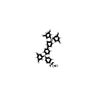 CCO[Si](C)(C)c1ccc(N(c2ccc(-c3ccc(N(c4cc(C)cc(C)c4)c4cc(C)cc(C)c4)cc3)cc2)c2cc(C)cc(C)c2)cc1